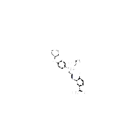 CCS(=O)(=O)N(C/C=C/c1cc(C(=N)N)ccc1F)c1ccc(OC2CCNCC2)cc1.Cl.Cl